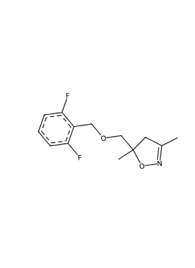 CC1=NOC(C)(COCc2c(F)cccc2F)C1